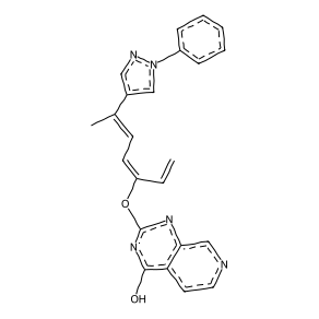 C=C/C(=C\C=C(/C)c1cnn(-c2ccccc2)c1)Oc1nc(O)c2ccncc2n1